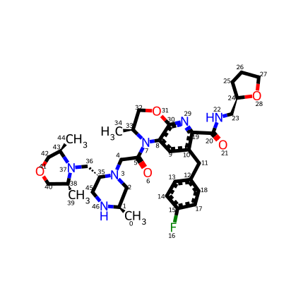 C[C@@H]1CN(CC(=O)N2c3cc(Cc4ccc(F)cc4)c(C(=O)NC[C@H]4CCCO4)nc3OC[C@@H]2C)[C@@H](CN2[C@H](C)COC[C@H]2C)CN1